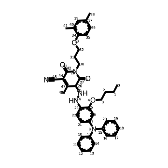 CCCCOc1cc(N(c2ccccc2)c2ccccc2)ccc1NNC1C(=O)N(CCCOc2ccc(C)cc2C)C(=O)C(C#N)=C1C